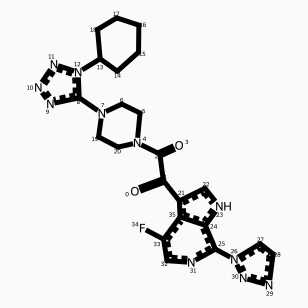 O=C(C(=O)N1CCN(c2nnnn2C2CCCCC2)CC1)c1c[nH]c2c(-n3ccnn3)ncc(F)c12